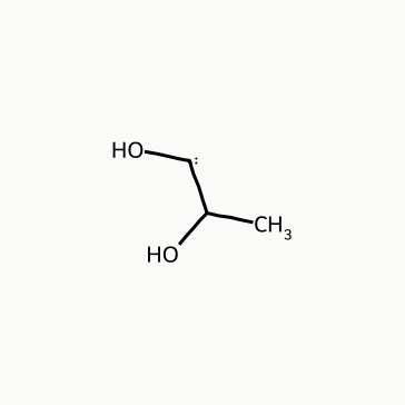 CC(O)[C]O